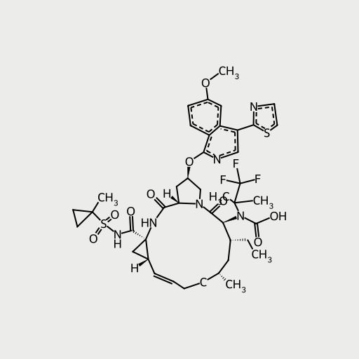 CC[C@@H]1C[C@H](C)CC/C=C\[C@@H]2C[C@@]2(C(=O)NS(=O)(=O)C2(C)CC2)NC(=O)[C@@H]2C[C@@H](Oc3ncc(-c4nccs4)c4cc(OC)ccc34)CN2C(=O)[C@H]1N(C(=O)O)C(C)(C)C(F)(F)F